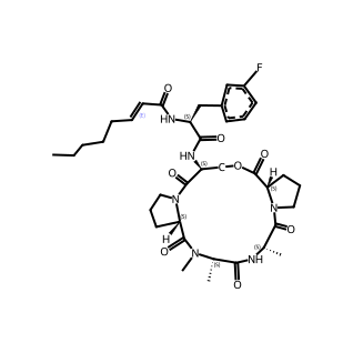 CCCCC/C=C/C(=O)N[C@@H](Cc1cccc(F)c1)C(=O)N[C@H]1COC(=O)[C@@H]2CCCN2C(=O)[C@H](C)NC(=O)[C@H](C)N(C)C(=O)[C@@H]2CCCN2C1=O